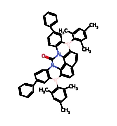 Cc1cc(C)c(B2c3cc(-c4ccccc4)ccc3N3C(=O)N4c5ccc(-c6ccccc6)cc5B(c5c(C)cc(C)cc5C)c5ccc6ccc2c3c6c54)c(C)c1